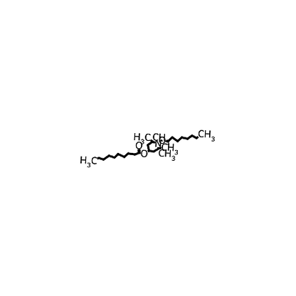 CCCCCCCCCC(=O)OC1CC(C)(C)N(OCCCCCCCC)C(C)(C)C1